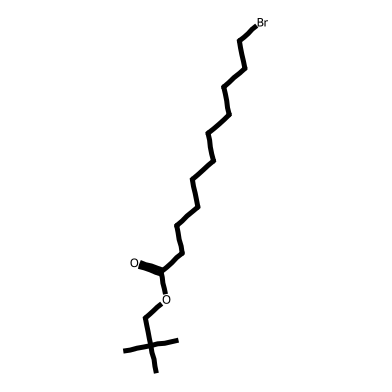 CC(C)(C)COC(=O)CCCCCCCCCCBr